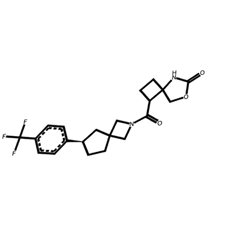 O=C1NC2(CCC2C(=O)N2CC3(CC[C@@H](c4ccc(C(F)(F)F)cc4)C3)C2)CO1